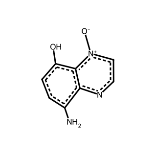 Nc1ccc(O)c2c1ncc[n+]2[O-]